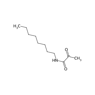 CCCCCCCCNC(=O)[P](C)=O